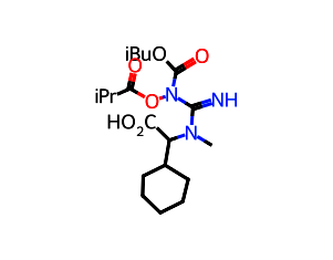 CC(C)COC(=O)N(OC(=O)C(C)C)C(=N)N(C)C(C(=O)O)C1CCCCC1